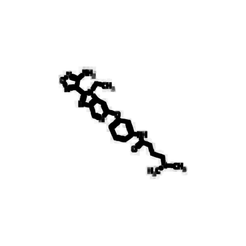 CCn1c(-c2nonc2N)nc2cnc(Oc3cccc(NC(=O)CCCN(C)C)c3)cc21